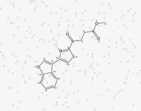 COC(=O)CCC(=O)c1nc(-c2coc3ccccc23)cs1